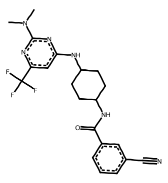 CN(C)c1nc(NC2CCC(NC(=O)c3cccc(C#N)c3)CC2)cc(C(F)(F)F)n1